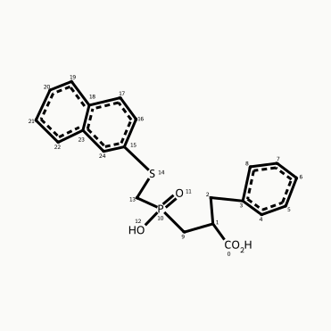 O=C(O)C(Cc1ccccc1)CP(=O)(O)CSc1ccc2ccccc2c1